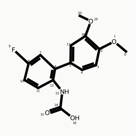 COc1ccc(-c2cc(F)ccc2NC(=O)O)cc1OC